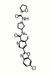 CN(C(=O)c1ncc(-c2nc3ccc(Cl)cc3o2)cc1F)C1CC[C@H](NC(=O)[C@@H]2CCCO2)C1